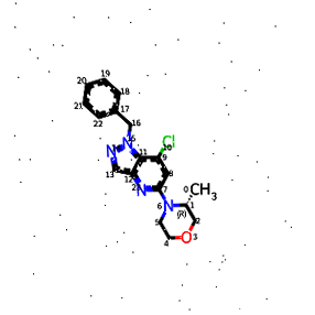 C[C@@H]1COCCN1c1cc(Cl)c2c(cnn2Cc2ccccc2)n1